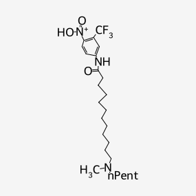 CCCCCN(C)CCCCCCCCCCCC(=O)Nc1ccc([N+](=O)O)c(C(F)(F)F)c1